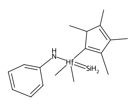 CC1=C(C)C(C)[C]([Hf]([CH3])([CH3])(=[SiH2])[NH]c2ccccc2)=C1C